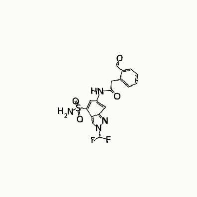 NS(=O)(=O)c1cc(NC(=O)Cc2ccccc2C=O)cc2nn(C(F)F)cc12